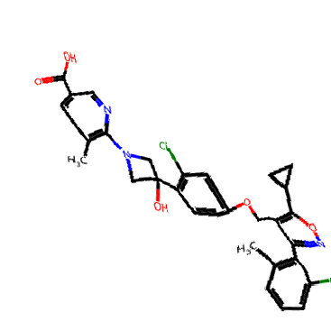 Cc1cc(C(=O)O)cnc1N1CC(O)(c2ccc(OCc3c(-c4c(C)cccc4Cl)noc3C3CC3)cc2Cl)C1